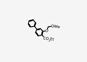 CCOC(=O)c1ccc(-c2ccccc2)cc1OCOC